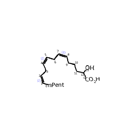 CCCCC/C=C\C/C=C\C/C=C\CCCC(O)C(=O)O